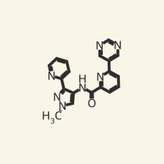 Cn1cc(NC(=O)c2cccc(-c3cncnc3)n2)c(-c2ccccn2)n1